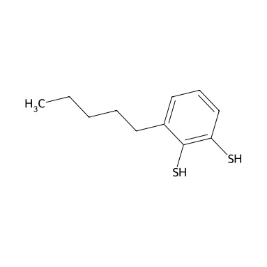 CCCCCc1cccc(S)c1S